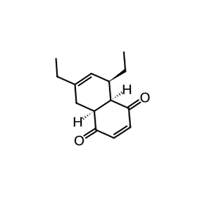 CCC1=C[C@@H](CC)[C@H]2C(=O)C=CC(=O)[C@H]2C1